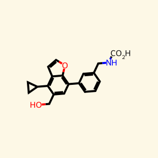 O=C(O)NCc1cccc(-c2cc(CO)c(C3CC3)c3ccoc23)c1